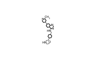 Cc1cc(-c2ccc3c(NCc4ccc(C5CNCCO5)cc4)ncnc3c2)ccn1